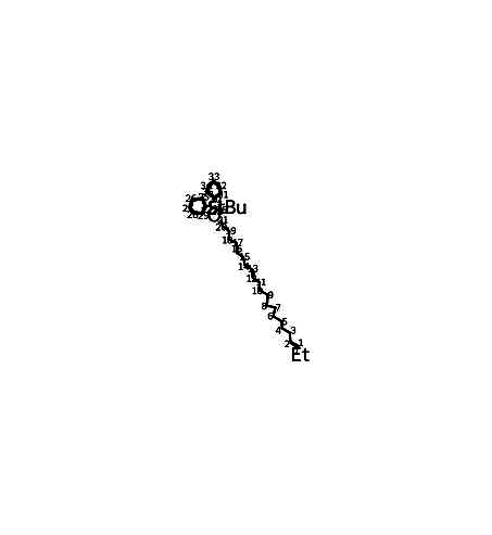 CC/C=C/CCCCCCCCC/C=C/CCCCCCCCO[Si](c1ccccc1)(c1ccccc1)C(C)(C)C